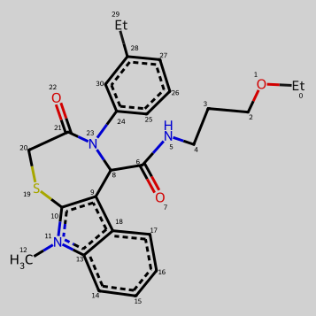 CCOCCCNC(=O)C1c2c(n(C)c3ccccc23)SCC(=O)N1c1cccc(CC)c1